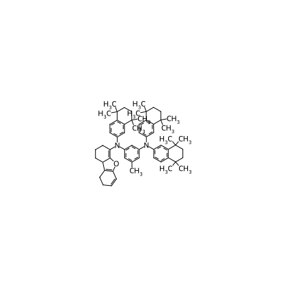 Cc1cc(N(C2=C3OC4=C(CCC=C4)C3CCC2)c2ccc3c(c2)C(C)(C)CCC3(C)C)cc(N(c2ccc3c(c2)C(C)(C)CCC3(C)C)c2ccc3c(c2)C(C)(C)CCC3(C)C)c1